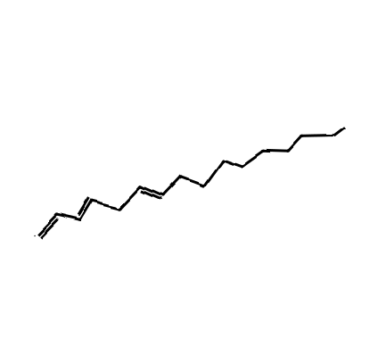 [CH]=CC=CCC=CCCCCCCCCC